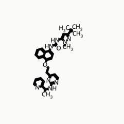 CC(Nc1nccc(CCOc2ccc(NC(=O)Nc3cc(C(C)(C)C)nn3C)c3ccccc23)n1)c1ccccn1